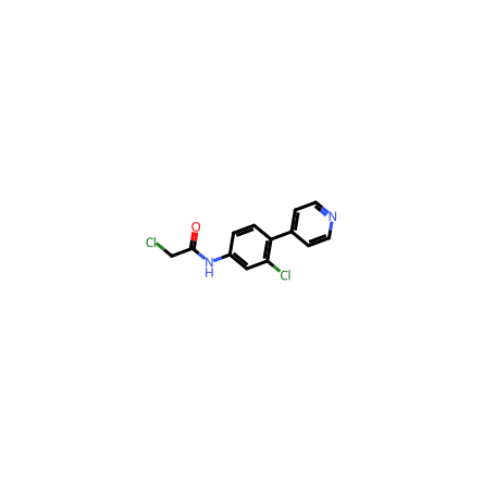 O=C(CCl)Nc1ccc(-c2ccncc2)c(Cl)c1